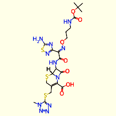 Cn1nnnc1SCC1=C(C(=O)O)N2C(=O)C(NC(=O)/C(=N/OCCCNC(=O)OC(C)(C)C)c3nsc(N)n3)[C@H]2SC1